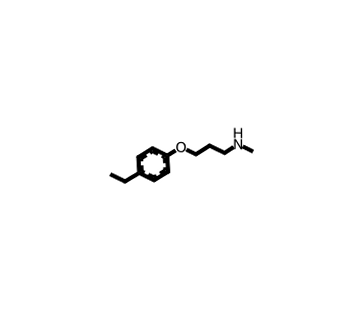 CCc1ccc(OCCCNC)cc1